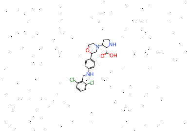 O=C(O)[C@H]1NCCC1N1CCOC(c2ccc(NCc3c(Cl)cccc3Cl)cc2)C1